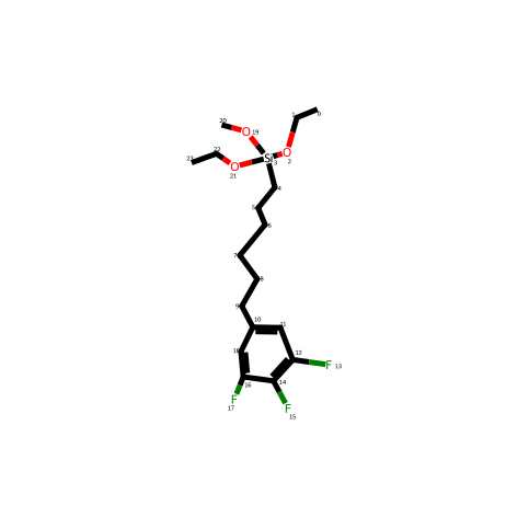 CCO[Si](CCCCCCc1cc(F)c(F)c(F)c1)(OC)OCC